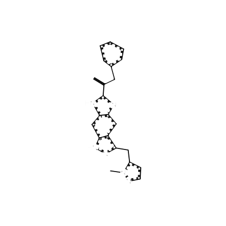 Cn1nccc1Cc1n[nH]c2cc3[nH]c(C(=O)Cc4ccccc4)nc3cc12